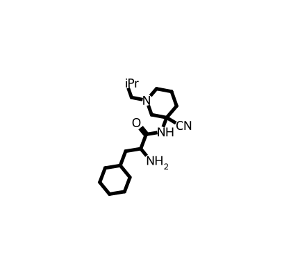 CC(C)CN1CCCC(C#N)(NC(=O)C(N)CC2CCCCC2)C1